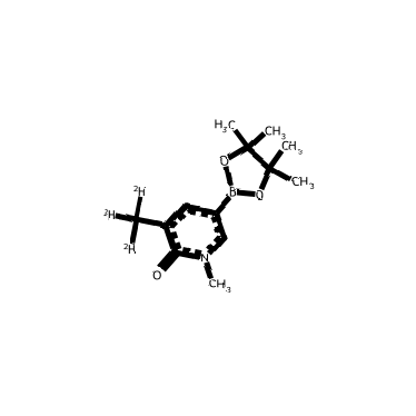 [2H]C([2H])([2H])c1cc(B2OC(C)(C)C(C)(C)O2)cn(C)c1=O